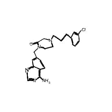 Nc1ncnc2cc(CN3CCN(CCCc4cccc(Cl)c4)CC3=O)ccc12